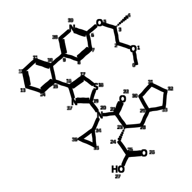 COC[C@@H](C)Oc1ccc(-c2ccccc2-c2csc(N(C(=O)[C@@H](CC(=O)O)CC3CCCC3)C3CC3)n2)cn1